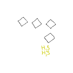 C1CCC1.C1CCC1.C1CCC1.C1CCC1.S.S